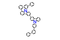 c1ccc(-c2cccc(-c3ccc(-n4c5ccccc5c5cc(-c6ccc7c(c6)c6cccc(-c8ccccc8)c6n7-c6cccc(-c7ccccc7)c6)ccc54)cc3)c2)cc1